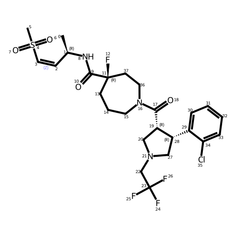 C[C@H](/C=C\S(C)(=O)=O)NC(=O)[C@@]1(F)CCCN(C(=O)[C@H]2CN(CC(F)(F)F)C[C@H]2c2ccccc2Cl)CC1